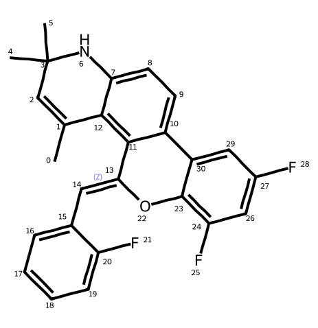 CC1=CC(C)(C)Nc2ccc3c(c21)/C(=C/c1ccccc1F)Oc1c(F)cc(F)cc1-3